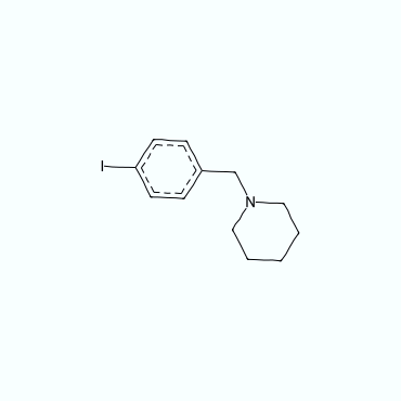 Ic1ccc(CN2CCCCC2)cc1